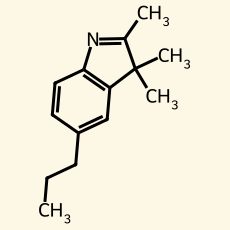 CCCc1ccc2c(c1)C(C)(C)C(C)=N2